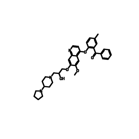 COc1cc2c(Oc3ccc(C)cc3C(=O)c3ccccc3)ccnc2cc1OCC(O)CN1CCC(N2CCCC2)CC1